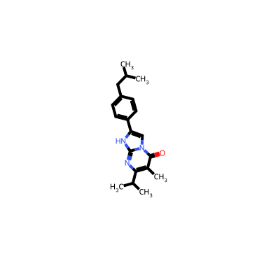 Cc1c(C(C)C)nc2[nH]c(-c3ccc(CC(C)C)cc3)cn2c1=O